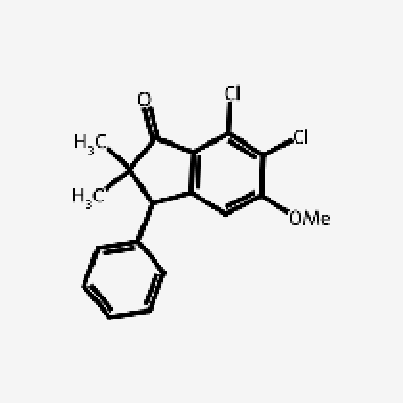 COc1cc2c(c(Cl)c1Cl)C(=O)C(C)(C)C2c1ccccc1